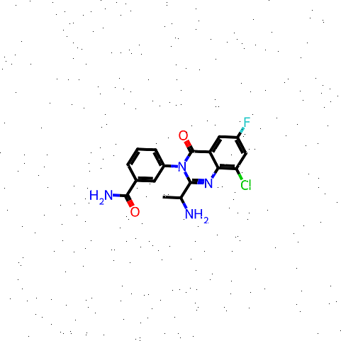 CC(N)c1nc2c(Cl)cc(F)cc2c(=O)n1-c1cccc(C(N)=O)c1